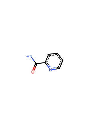 [NH]C(=O)c1[c]cccn1